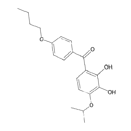 CCCCOc1ccc(C(=O)c2ccc(OC(C)C)c(O)c2O)cc1